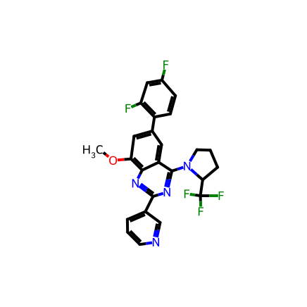 COc1cc(-c2ccc(F)cc2F)cc2c(N3CCCC3C(F)(F)F)nc(-c3cccnc3)nc12